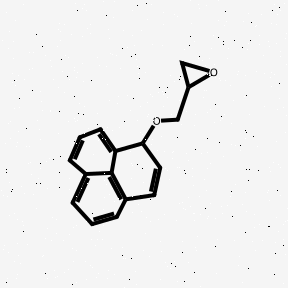 C1=CC(OCC2CO2)c2cccc3cccc1c23